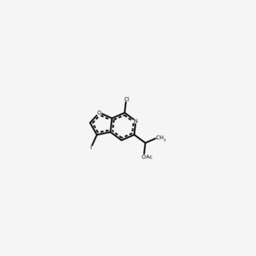 CC(=O)OC(C)c1cc2c(I)coc2c(Cl)n1